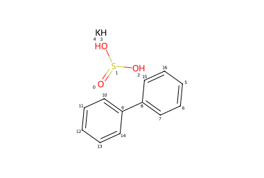 O=S(O)O.[KH].c1ccc(-c2ccccc2)cc1